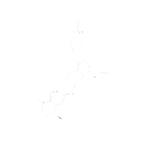 CCC(C)(N)c1cnc(O[C@H]2C[C@@H](S(=O)(=O)CC)C2)c2cnc(Nc3ccc4c(n3)[C@@H](C)[C@H](C)OC4=O)cc12